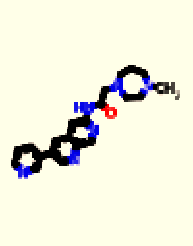 CN1CCCN(CC(=O)Nc2cc3cc(-c4cccnc4)cnc3cn2)CC1